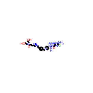 N=C(NC(=O)c1nc(Cl)c(N)nc1N)NC1CCN(Cc2ccc(CCn3cc(CCC(=O)N(CCO)CCO)nn3)cc2)CC1